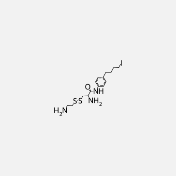 NCCSSCC(N)C(=O)Nc1ccc(CCCCI)cc1